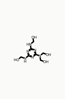 OCNc1nc(NCO)nc(N(CO)CO)n1